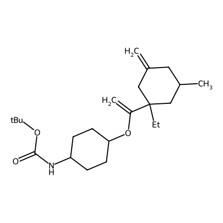 C=C1CC(C)CC(CC)(C(=C)OC2CCC(NC(=O)OC(C)(C)C)CC2)C1